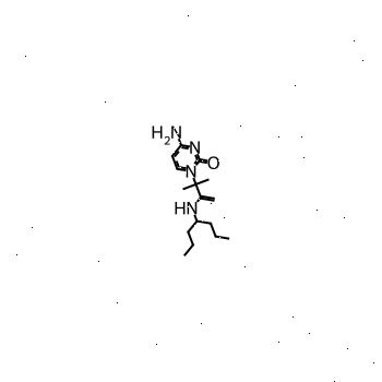 C=C(NC(CCC)CCC)C(C)(C)n1ccc(N)nc1=O